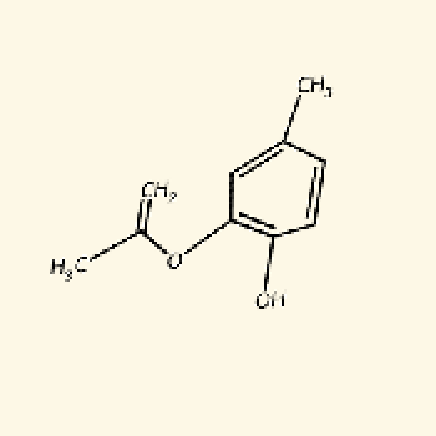 C=C(C)Oc1cc(C)ccc1O